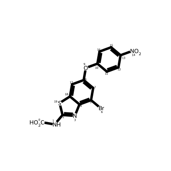 O=C(O)Nc1nc2c(Br)cc(Oc3ccc([N+](=O)[O-])cc3)cc2s1